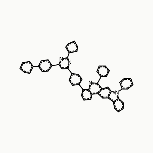 c1ccc(-c2ccc(-c3cc(-c4ccc(-c5cccc6c5nc(-c5ccccc5)c5cc7c(cc56)c5ccccc5n7-c5ccccc5)cc4)nc(-c4ccccc4)n3)cc2)cc1